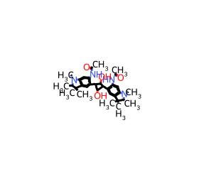 CC(=O)Nc1cc2c(cc1C1C(O)C(c3cc4c(cc3NC(C)=O)N(C)C(C)C4(C)C)C1O)C(C)(C)C(C)N2C